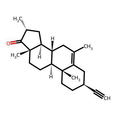 C#C[C@H]1CC[C@@]2(C)C(=C(C)C[C@@H]3[C@@H]2CC[C@]2(C)C(=O)[C@H](C)C[C@@H]32)C1